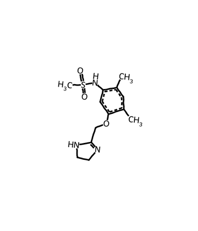 Cc1cc(C)c(OCC2=NCCN2)cc1NS(C)(=O)=O